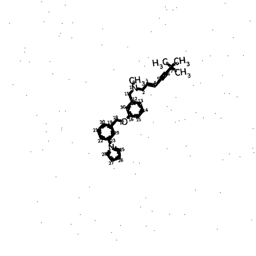 CN(CC=CC#CC(C)(C)C)Cc1cccc(OCc2cccc(-n3cccc3)c2)c1